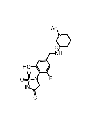 CC(=O)N1CCC[C@@H](NCc2cc(O)c(N3CC(=O)NS3(=O)=O)c(F)c2)C1